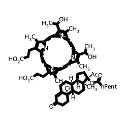 CC1=C(CCC(=O)O)c2cc3[nH]c(cc4nc(cc5[nH]c(cc1n2)c(C(C)O)c5C)C(C(C)O)=C4C)c(C)c3CCC(=O)O.CCCCCC(=O)O[C@]1(C(C)=O)CC[C@H]2[C@@H]3CCC4=CC(=O)CC[C@]4(C)[C@H]3CC[C@@]21C